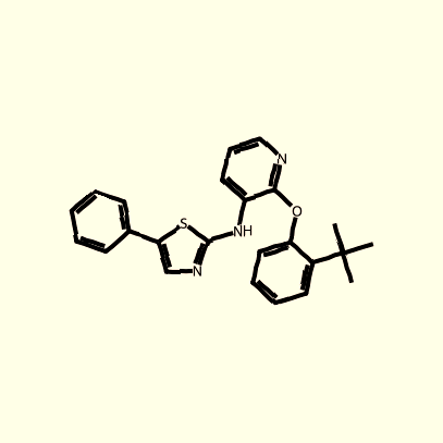 CC(C)(C)c1ccccc1Oc1ncccc1Nc1ncc(-c2ccccc2)s1